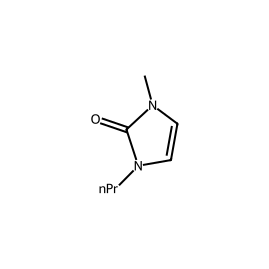 CCCn1ccn(C)c1=O